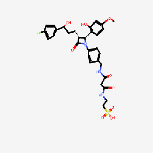 COc1ccc([C@@H]2[C@@H](CC[C@H](O)c3ccc(F)cc3)C(=O)N2c2ccc(CNC(=O)CC(=O)NCCS(=O)(=O)O)cc2)c(O)c1